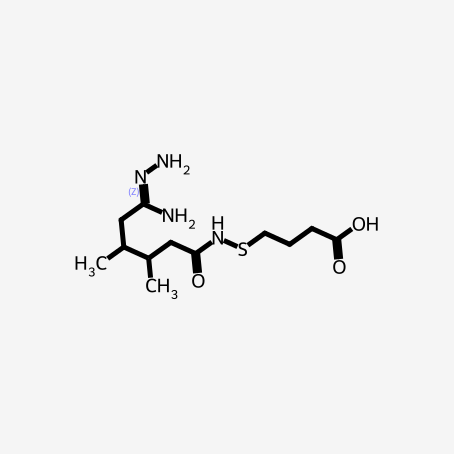 CC(CC(=O)NSCCCC(=O)O)C(C)C/C(N)=N/N